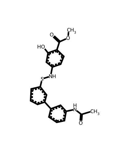 COC(=O)c1ccc(NSc2cccc(-c3cccc(NC(C)=O)c3)c2)cc1O